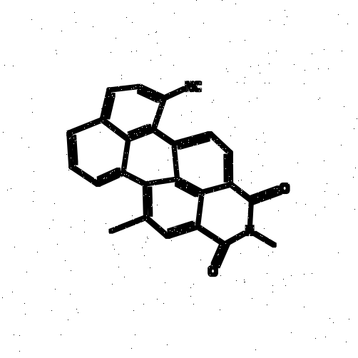 [C-]#[N+]c1ccc2cccc3c4c(C)cc5c6c(ccc(c1c23)c64)C(=O)N(C)C5=O